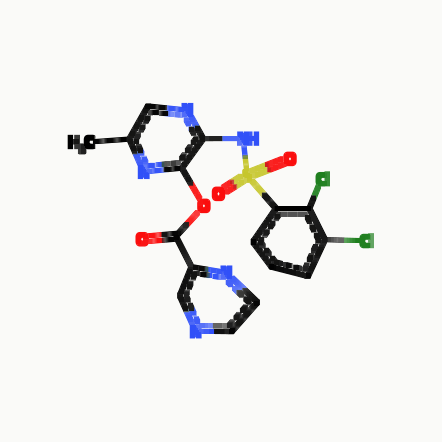 Cc1cnc(NS(=O)(=O)c2cccc(Cl)c2Cl)c(OC(=O)c2cnccn2)n1